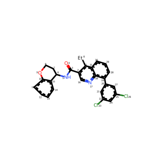 CCc1c(C(=O)NC2CCOc3ccccc32)cnc2c(-c3cc(Cl)cc(Cl)c3)cccc12